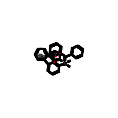 CC(C)(C)C1=CC[C]([Zr]([CH3])([CH3])(=[C](c2ccccc2)c2ccccc2)[c]2cccc3c2Cc2ccccc2-3)=C1